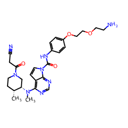 C[C@@H]1CCN(C(=O)CC#N)C[C@@H]1N(C)c1ncnc2c1ccn2C(=O)Nc1ccc(OCCOCCN)cc1